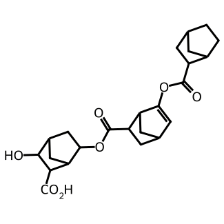 O=C(OC1=CC2CC(C(=O)OC3CC4CC3C(C(=O)O)C4O)C1C2)C1CC2CCC1C2